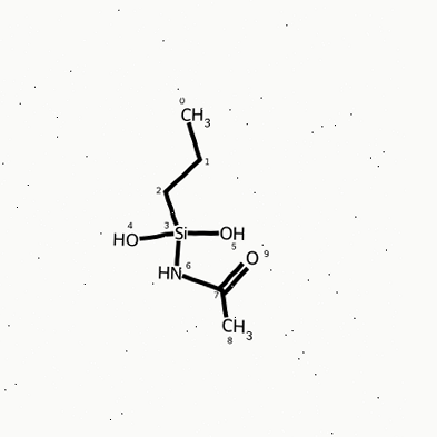 CCC[Si](O)(O)NC(C)=O